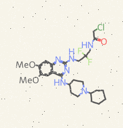 COc1cc2nc(NCC(F)(F)CNC(=O)CCl)nc(NC3CCN(C4CCCCC4)CC3)c2cc1OC